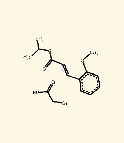 CCC(=O)O.COc1ccccc1/C=C/C(=O)OC(C)C